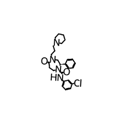 O=C1CCN(C(=O)Nc2cccc(Cl)c2)[C@H](c2ccccc2)CN1CCCN1CCCCC1